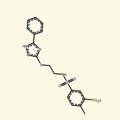 Cc1ccc(S(=O)(=O)NCCSc2n[nH]c(-c3ccccc3)n2)cc1C(=O)O